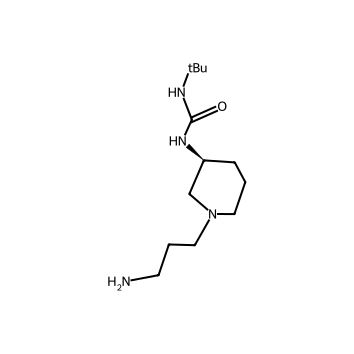 CC(C)(C)NC(=O)N[C@H]1CCCN(CCCN)C1